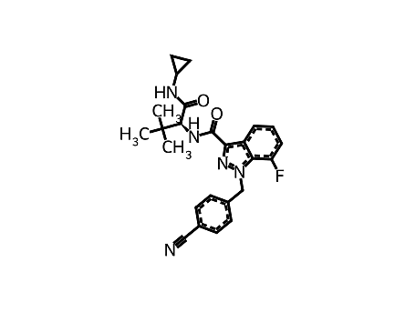 CC(C)(C)[C@H](NC(=O)c1nn(Cc2ccc(C#N)cc2)c2c(F)cccc12)C(=O)NC1CC1